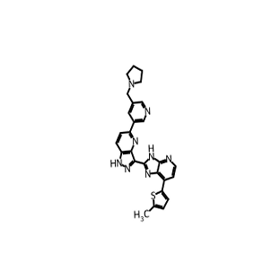 Cc1ccc(-c2ccnc3[nH]c(-c4n[nH]c5ccc(-c6cncc(CN7CCCC7)c6)nc45)nc23)s1